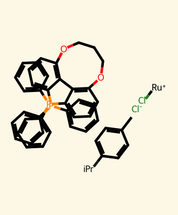 Cc1ccc(C(C)C)cc1.[Cl-].[Cl][Ru+].c1ccc(P(c2ccccc2)c2cccc3c2-c2c(cccc2P(c2ccccc2)c2ccccc2)OCCCO3)cc1